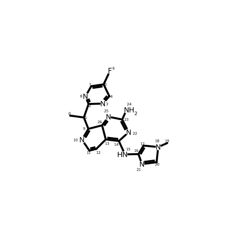 CC(c1ncc(F)cn1)c1nccc2c(Nc3cn(C)cn3)nc(N)nc12